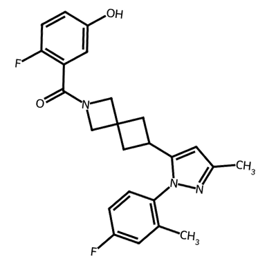 Cc1cc(C2CC3(C2)CN(C(=O)c2cc(O)ccc2F)C3)n(-c2ccc(F)cc2C)n1